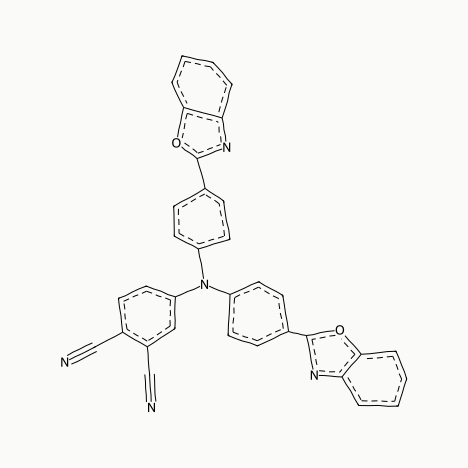 N#Cc1ccc(N(c2ccc(-c3nc4ccccc4o3)cc2)c2ccc(-c3nc4ccccc4o3)cc2)cc1C#N